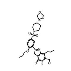 CCCOc1ccc(S(=O)(=O)N2CCC([C@@H]3COCO3)CC2)cc1C1=Nc2c(CCC)c(C=O)n(C)c(=O)c2C1